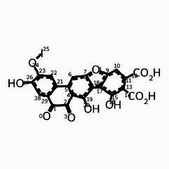 O=C1C(=O)c2c(cc3oc4cc(C(=O)O)c(C(=O)O)c(O)c4c3c2O)-c2cc(OI)c(O)cc21